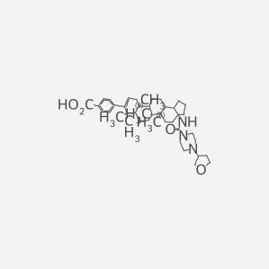 CC1(C)C(c2ccc(C(=O)O)cc2)=CC[C@@]2(C)C1CCC1(C)C2CCC2C3CCCC3(NC(=O)N3CCN(C4CCOC4)CC3)CC[C@]21C